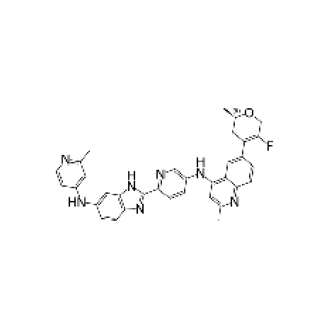 Cc1cc(Nc2ccc3nc(-c4ccc(Nc5cc(C)nc6ccc(C7=C(F)CO[C@H](C)C7)cc56)cn4)[nH]c3c2)ccn1